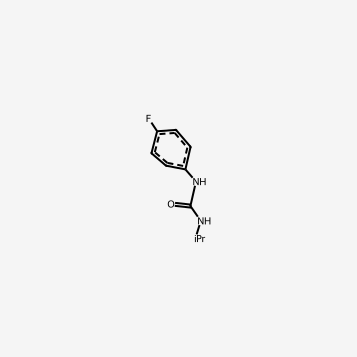 CC(C)NC(=O)Nc1ccc(F)cc1